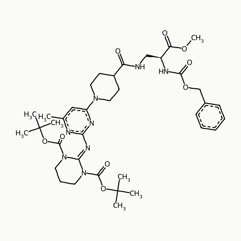 COC(=O)[C@H](CNC(=O)C1CCN(c2cc(C)nc(N=C3N(C(=O)OC(C)(C)C)CCCN3C(=O)OC(C)(C)C)n2)CC1)NC(=O)OCc1ccccc1